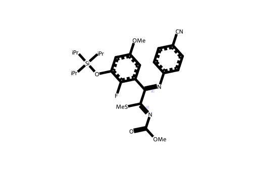 COC(=O)/N=C(SC)/C(=N/c1ccc(C#N)cc1)c1cc(OC)cc(O[Si](C(C)C)(C(C)C)C(C)C)c1F